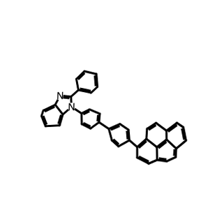 c1ccc(-c2nc3ccccc3n2-c2ccc(-c3ccc(-c4ccc5ccc6cccc7ccc4c5c67)cc3)cc2)cc1